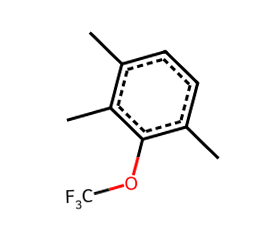 Cc1ccc(C)c(OC(F)(F)F)c1C